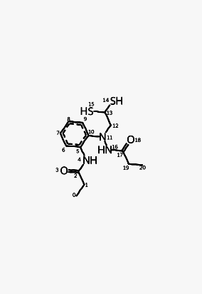 CCC(=O)Nc1ccccc1N(CC(S)S)NC(=O)CC